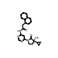 N#C[C@@]1(C2CC2)CCN(c2cc(NC(=O)Cc3cccc4ccccc34)ncn2)C1=O